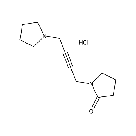 Cl.O=C1CCCN1CC#CCN1CCCC1